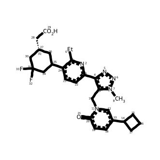 CCc1nc(-c2nnn(C)c2Cn2cc(C3CCC3)ccc2=O)ccc1C1C[C@@H](CC(=O)O)CC(F)(F)C1